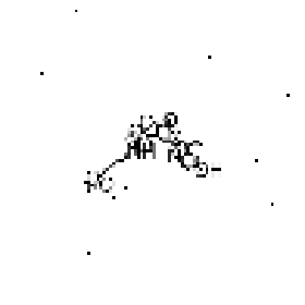 CCc1c2c(nc3ccc(O)cc13)-c1cc3c(c(=O)n1C2)COC(=O)[C@H]3OC(=O)NCCCCCC(=O)OC(C)(C)C